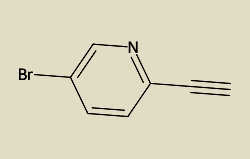 C#Cc1ccc(Br)cn1